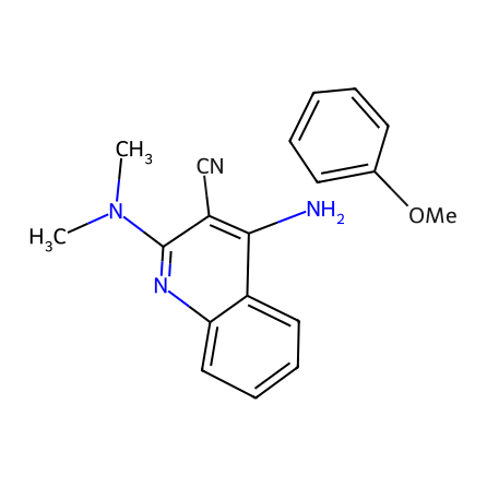 CN(C)c1nc2ccccc2c(N)c1C#N.COc1ccccc1